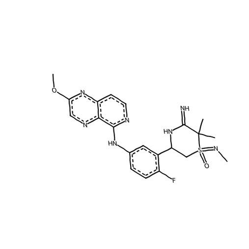 CN=S1(=O)CC(c2cc(Nc3nccc4nc(OC)cnc34)ccc2F)NC(=N)C1(C)C